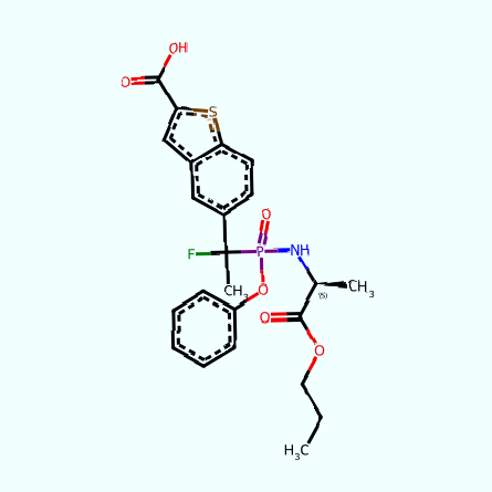 CCCOC(=O)[C@H](C)NP(=O)(Oc1ccccc1)C(C)(F)c1ccc2sc(C(=O)O)cc2c1